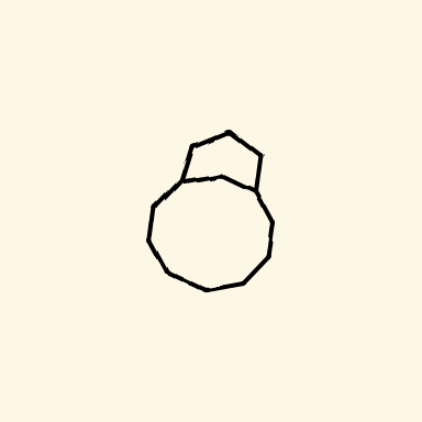 C1CCCC2CCCC(CCC1)C2